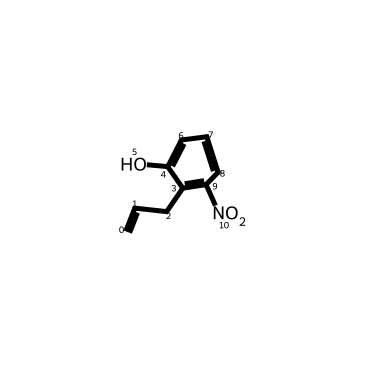 C=CCc1c(O)cccc1[N+](=O)[O-]